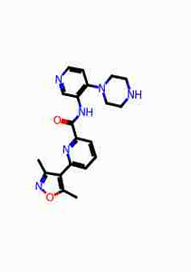 Cc1noc(C)c1-c1cccc(C(=O)Nc2cnccc2N2CCNCC2)n1